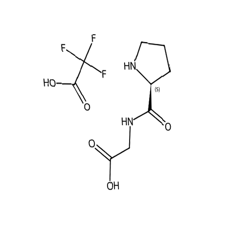 O=C(O)C(F)(F)F.O=C(O)CNC(=O)[C@@H]1CCCN1